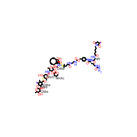 COC(=O)NC1=C2/C(=C\CSSC(C)(C)CCC(=O)NCCNC(=O)OCc3ccc(NC(=O)[C@H](CCCNC(N)=O)NC(=O)[C@@H](NC(=O)CCCCCN4C(=O)CC(I)C4=O)C(C)C)cc3)[C@](O)(C#C/C=C\C#C[C@@H]2OC2OC(C)C(NOC3CC(O)C(SC(=O)c4c(C)c(I)c(OC5OC(C)C(O)C(OC)C5O)c(OC)c4OC)C(C)O3)C(O)C2OC2CC(OC)C(NC(C)=O)CO2)CC1=O